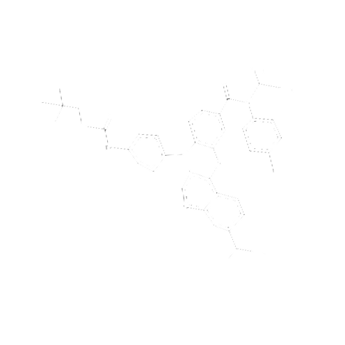 CC(C)c1ccc2c(Nc3cc(C(=O)N(c4ccc(Br)cc4)C(C)C)ccc3Sc3ccc(NC(=O)OCC(Cl)(Cl)Cl)cc3)ncnc2n1